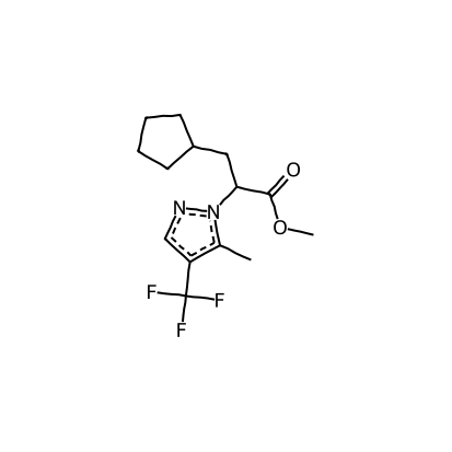 COC(=O)C(CC1CCCC1)n1ncc(C(F)(F)F)c1C